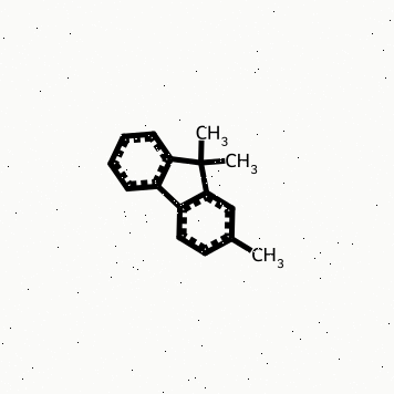 Cc1ccc2c(c1)C(C)(C)c1ccccc1-2